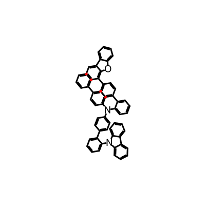 c1ccc(-c2ccc(N(c3ccc(-c4ccccc4-n4c5ccccc5c5ccccc54)cc3)c3ccccc3-c3ccc(-c4cccc5c4oc4ccccc45)cc3)cc2)cc1